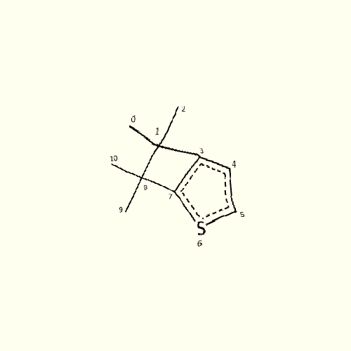 CC1(C)c2ccsc2C1(C)C